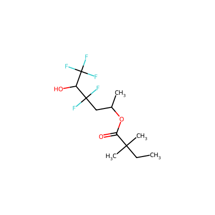 CCC(C)(C)C(=O)OC(C)CC(F)(F)C(O)C(F)(F)F